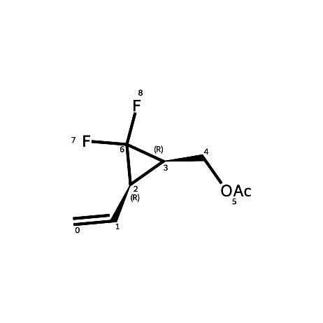 C=C[C@@H]1[C@H](COC(C)=O)C1(F)F